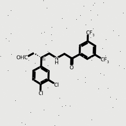 O=CC[C@H](CNCC(=O)c1cc(C(F)(F)F)cc(C(F)(F)F)c1)c1ccc(Cl)c(Cl)c1